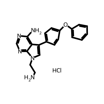 Cl.NCCn1cc(-c2ccc(Oc3ccccc3)cc2)c2c(N)ncnc21